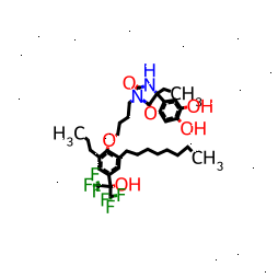 CCCCCCCCc1cc(C(O)(C(F)(F)F)C(F)(F)F)cc(CCC)c1OCCCCN1C(=O)NC(CC)(c2ccc(O)c(O)c2)C1=O